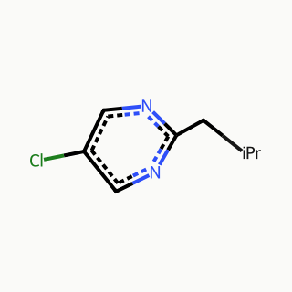 CC(C)Cc1ncc(Cl)cn1